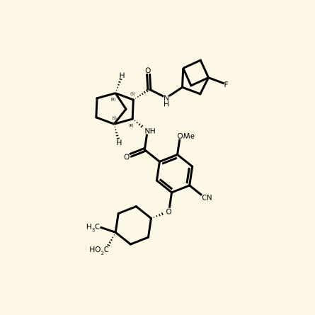 COc1cc(C#N)c(O[C@H]2CC[C@@](C)(C(=O)O)CC2)cc1C(=O)N[C@@H]1[C@H]2CC[C@H](C2)[C@@H]1C(=O)NC1CC2(F)CC1C2